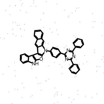 c1ccc(-c2nc(-c3ccccc3)nc(-c3ccc(-n4c5cc6ccccc6cc5c5c6c([nH]c7ccccc76)oc54)cc3)n2)cc1